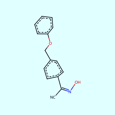 N#C/C(=N/O)c1ccc(COc2ccccc2)cc1